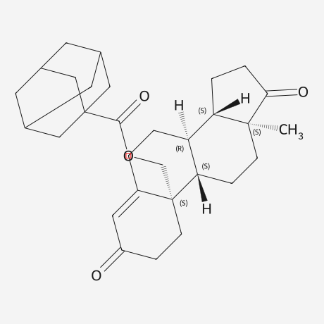 C[C@]12CC[C@H]3[C@@H](CCC4=CC(=O)CC[C@@]43COC(=O)C34CC5CC(CC(C5)C3)C4)[C@@H]1CCC2=O